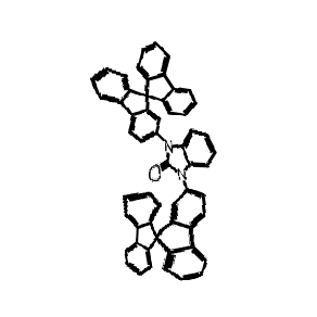 O=c1n(-c2ccc3c(c2)C2(c4ccccc4-c4ccccc42)c2ccccc2-3)c2ccccc2n1-c1ccc2c(c1)C1(c3ccccc3-c3ccccc31)c1ccccc1-2